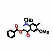 COc1cc(C(=O)COC(=O)c2ccccc2)c(N(C)C=O)cc1C